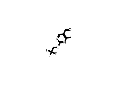 Cc1nc(OCC(F)(F)F)ncc1C=O